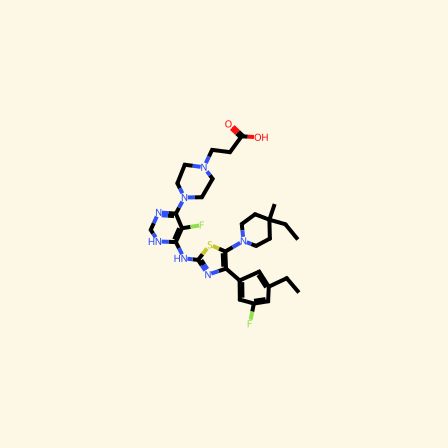 CCc1cc(F)cc(-c2nc(NC3=C(F)C(N4CCN(CCC(=O)O)CC4)=NCN3)sc2N2CCC(C)(CC)CC2)c1